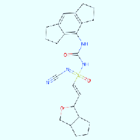 N#CN=S(=O)(/C=C/C1OCC2CCCC21)NC(=O)Nc1c2c(cc3c1CCC3)CCC2